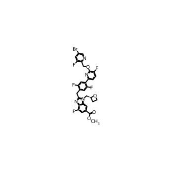 COC(=O)c1cc(F)c2nc(Cc3cc(F)c(-c4ccc(F)c(OCc5ncc(Br)cc5F)n4)cc3F)n(C[C@@H]3CCO3)c2c1